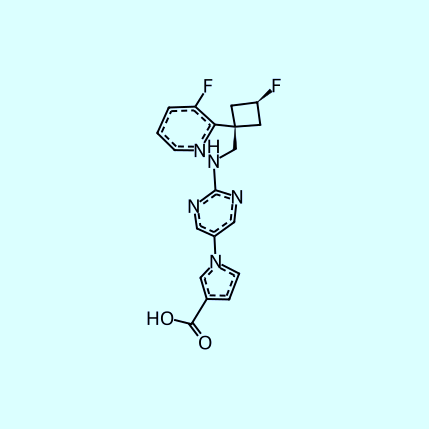 O=C(O)c1ccn(-c2cnc(NC[C@]3(c4ncccc4F)C[C@H](F)C3)nc2)c1